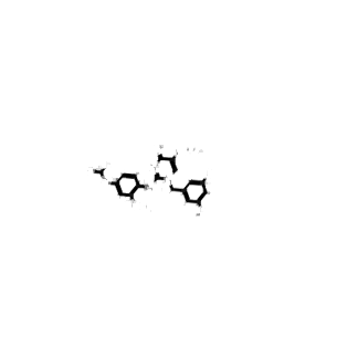 COc1cn(Cc2cc(F)cc(F)c2)c(Nc2ccc(OC(F)F)cc2C)nc1=O